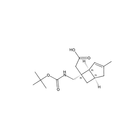 CC1=C[C@H]2[C@@H](C1)C[C@@]2(CNC(=O)OC(C)(C)C)CC(=O)O